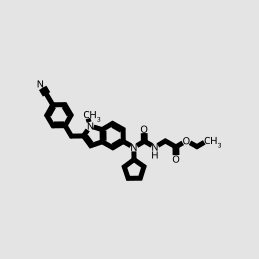 CCOC(=O)CNC(=O)N(c1ccc2c(c1)cc(Cc1ccc(C#N)cc1)n2C)C1CCCC1